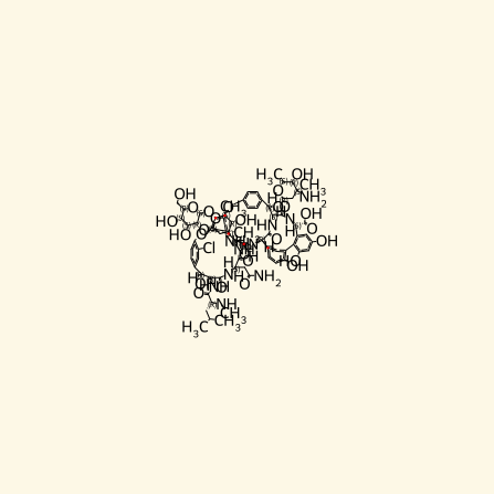 CN[C@H](CC(C)C)C(=O)N[C@H]1C(=O)N[C@@H](CC(N)=O)C(=O)N[C@H]2C(=O)N[C@H]3C(=O)N[C@H](C(=O)N[C@H](C(=O)O)c4cc(O)cc(O)c4-c4cc3ccc4O)[C@H](O[C@H]3C[C@](C)(N)[C@@H](O)[C@H](C)O3)c3ccc(cc3)Oc3cc2cc(c3O[C@@H]2O[C@H](CO)[C@@H](O)[C@H](O)[C@H]2O[C@H]2C[C@](C)(N)[C@@H](O)[C@H](C)O2)Oc2ccc(cc2Cl)[C@H]1O